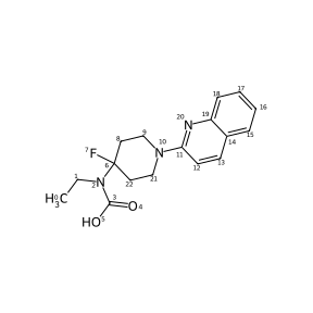 CCN(C(=O)O)C1(F)CCN(c2ccc3ccccc3n2)CC1